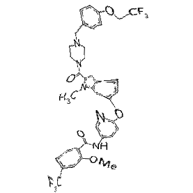 COc1cc(C(F)(F)F)ccc1C(=O)Nc1ccc(Oc2ccc3cc(C(=O)N4CCN(Cc5ccc(OCC(F)(F)F)cc5)CC4)n(C)c3c2)nc1